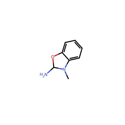 CN1c2ccccc2OC1N